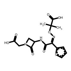 CC(C)(O/N=C(\C(=O)NC1CN(CC(=O)O)C1=O)c1cccs1)C(=O)O